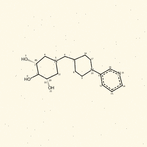 OC1[C@H](O)CN(CC2CCN(c3cccnc3)CC2)C[C@@H]1O